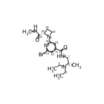 CCN(CC)[C@@H](C)CNC(=O)c1cc(Br)nc(N2CC[C@H]2C(=O)NC)c1